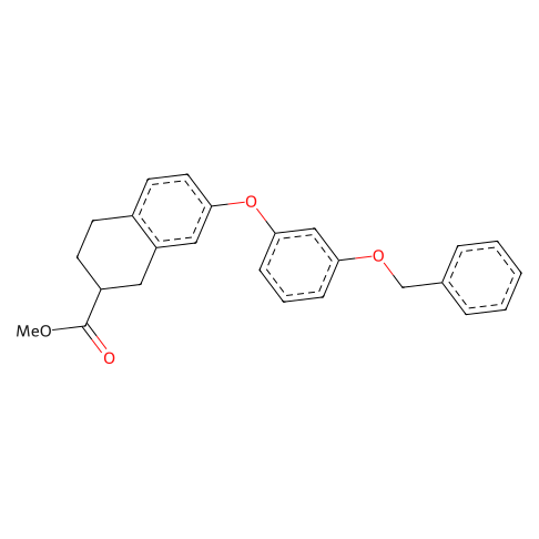 COC(=O)C1CCc2ccc(Oc3cccc(OCc4ccccc4)c3)cc2C1